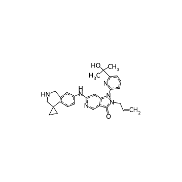 C=CCn1c(=O)c2cnc(Nc3ccc4c(c3)CNCC43CC3)cc2n1-c1cccc(C(C)(C)O)n1